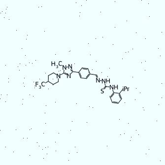 CC(C)c1ccccc1NC(=S)NN=Cc1ccc(-c2nc(N3CCC(C(F)(F)F)CC3)n(C)n2)cc1